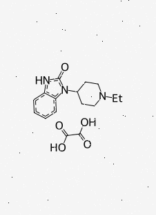 CCN1CCC(n2c(=O)[nH]c3ccccc32)CC1.O=C(O)C(=O)O